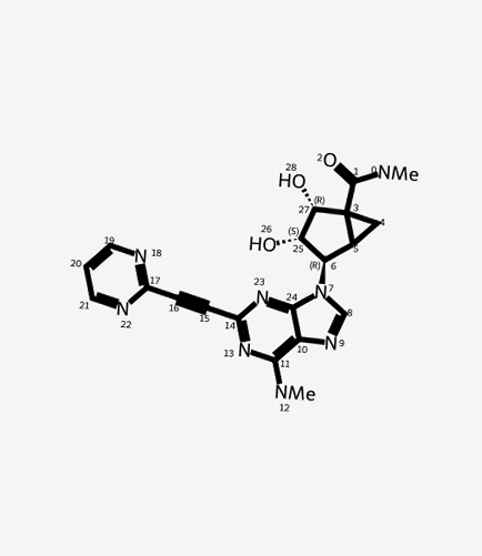 CNC(=O)C12CC1[C@@H](n1cnc3c(NC)nc(C#Cc4ncccn4)nc31)[C@H](O)[C@@H]2O